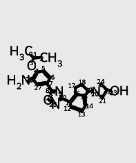 CC(C)Oc1ccc(-c2nc(-c3cccc4c3CC[C@@H]4N3CC(O)C3)no2)cc1N